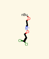 CCCCOC/C=N/OCC=C(Cl)Cl